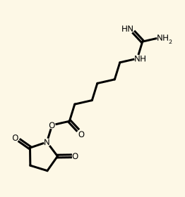 N=C(N)NCCCCCC(=O)ON1C(=O)CCC1=O